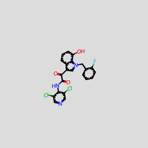 O=C(Nc1c(Cl)cncc1Cl)C(=O)c1cn(Cc2ccccc2F)c2c(O)cccc12